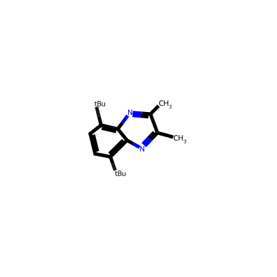 Cc1nc2c(C(C)(C)C)ccc(C(C)(C)C)c2nc1C